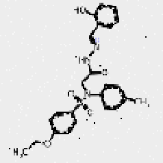 CCOc1ccc(S(=O)(=O)N(CC(=O)N/N=C/c2ccccc2O)c2ccc(C)cc2)cc1